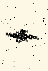 COc1ccc(C(=O)N[C@@H](C(=O)N2CCC(C3CCN(C)CC3)CC2)C(C)C)cc1.CS(=O)(=O)O